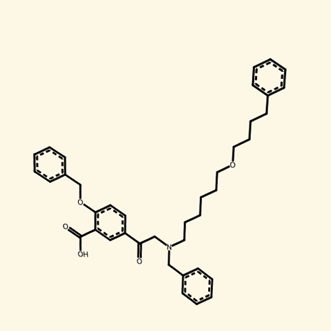 O=C(CN(CCCCCCOCCCCc1ccccc1)Cc1ccccc1)c1ccc(OCc2ccccc2)c(C(=O)O)c1